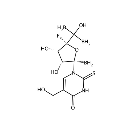 BC(B)(O)[C@@]1(F)O[C@@](B)(n2cc(CO)c(=O)[nH]c2=S)[C@H](O)[C@@H]1O